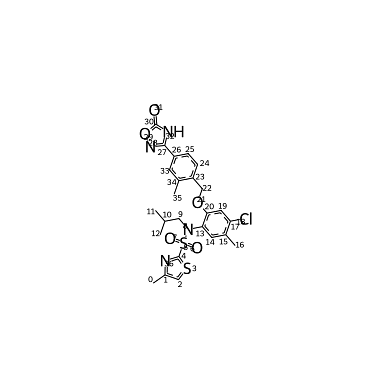 Cc1csc(S(=O)(=O)N(CC(C)C)c2cc(C)c(Cl)cc2OCc2ccc(-c3noc(=O)[nH]3)cc2C)n1